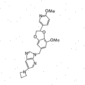 COc1ccc(C2COc3cc(Cn4cnc5cc(N6CCC6)cnc54)cc(OC)c3O2)cn1